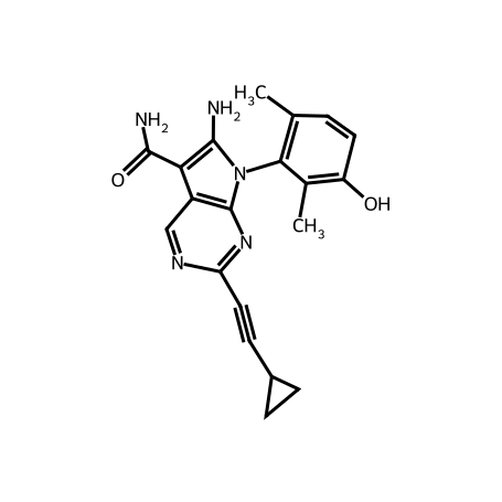 Cc1ccc(O)c(C)c1-n1c(N)c(C(N)=O)c2cnc(C#CC3CC3)nc21